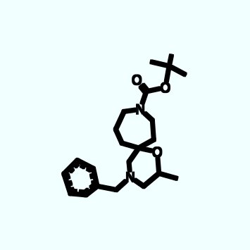 CC1CN(Cc2ccccc2)CC2(CCCN(C(=O)OC(C)(C)C)CC2)O1